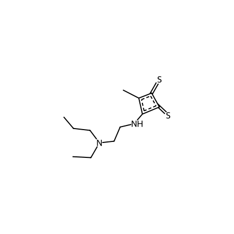 CCCN(CC)CCNc1c(C)c(=S)c1=S